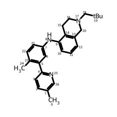 Cc1ccc(-c2cc(Nc3cccc4c3CCN(CC(C)(C)C)C4)ccc2C)nc1